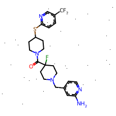 Nc1cc(CN2CCC(F)(C(=O)N3CCC(Sc4ccc(C(F)(F)F)cn4)CC3)CC2)ccn1